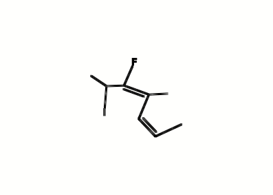 C/C=C\C(C)=C(\F)C(C)I